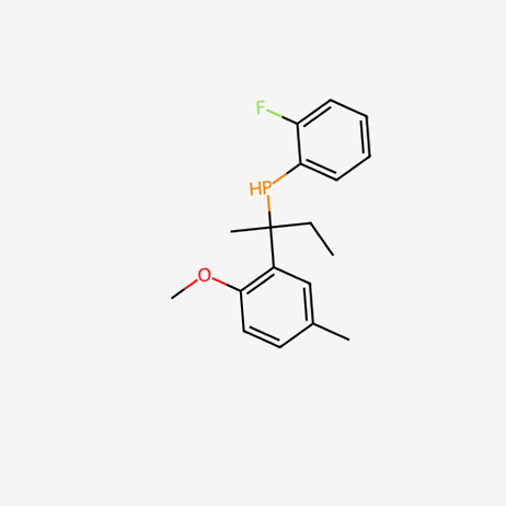 CCC(C)(Pc1ccccc1F)c1cc(C)ccc1OC